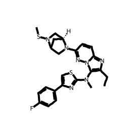 CCc1nc2ccc(N3CC4C[C@H]3CN4SC)nn2c1N(C)c1nc(-c2ccc(F)cc2)cs1